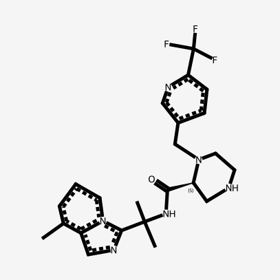 Cc1cccn2c(C(C)(C)NC(=O)[C@@H]3CNCCN3Cc3ccc(C(F)(F)F)nc3)ncc12